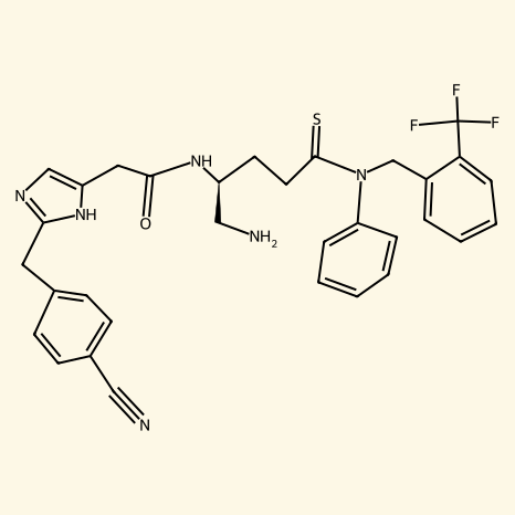 N#Cc1ccc(Cc2ncc(CC(=O)N[C@H](CN)CCC(=S)N(Cc3ccccc3C(F)(F)F)c3ccccc3)[nH]2)cc1